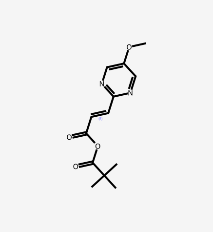 COc1cnc(/C=C/C(=O)OC(=O)C(C)(C)C)nc1